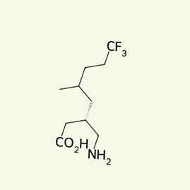 CC(CCC(F)(F)F)C[C@H](CN)CC(=O)O